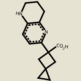 O=C(O)C1(c2ccc3c(n2)CCCN3)CC2(CC2)C1